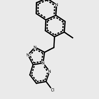 Cc1cc2ncccc2cc1Cc1nnc2ccc(Cl)nn12